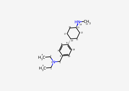 CCN(CC)Cc1ccc([C@H]2CC[C@H](NC)CC2)cc1